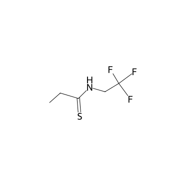 CCC(=S)NCC(F)(F)F